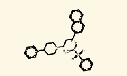 CN(C[C@H](CCN1CCC(c2ccccc2)CC1)c1ccc2ccccc2c1)S(=O)(=O)c1ccccc1